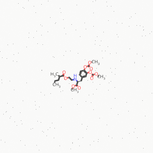 CCCC(C)C(=O)OCCN[C@@H](Cc1ccc(OC(=O)OC)c(OC(=O)OC)c1)C(=O)OC